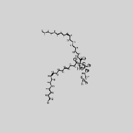 CCCCCCCC/C=C\CCCCCCCC(=O)C(C)(OP(=O)(O)OCC[N+](C)(C)C)C(=O)CCCCCCC/C=C\CCCCCCCC